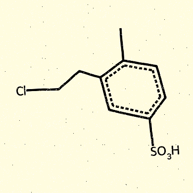 Cc1ccc(S(=O)(=O)O)cc1CCCl